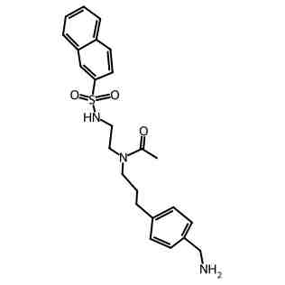 CC(=O)N(CCCc1ccc(CN)cc1)CCNS(=O)(=O)c1ccc2ccccc2c1